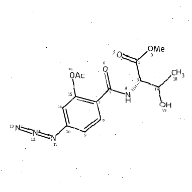 COC(=O)[C@@H](NC(=O)c1ccc(N=[N+]=[N-])cc1OC(C)=O)C(C)O